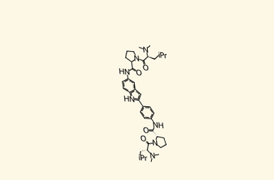 CC(C)C[C@H](C(=O)N1CCC[C@H]1C(=O)Nc1ccc(-c2cc3cc(NC(=O)C4CCCN4C(=O)[C@H](CC(C)C)N(C)C)ccc3[nH]2)cc1)N(C)C